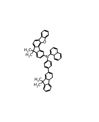 CC1(C)C2=CC(c3ccc(N(C4=CC=CC5C=CC=CC45)c4ccc5c(c4)-c4c(ccc6c4oc4ccccc46)C5(C)C)cc3)=CCC2c2ccccc21